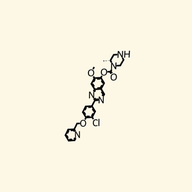 COc1cc2nc(-c3ccc(OCc4ccccn4)c(Cl)c3)ncc2cc1OC(=O)N1CCNC[C@H]1C